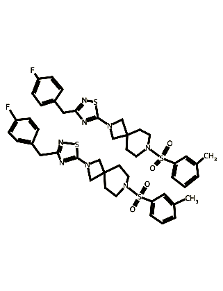 Cc1cccc(S(=O)(=O)N2CCC3(CC2)CN(c2nc(Cc4ccc(F)cc4)ns2)C3)c1.Cc1cccc(S(=O)(=O)N2CCC3(CC2)CN(c2nc(Cc4ccc(F)cc4)ns2)C3)c1